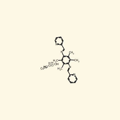 Cc1c(C)c(N=Cc2ccccn2)c(C)c(C)c1N=Cc1ccccn1.Cl.Cl.Cl.Cl.[Cu].[Cu]